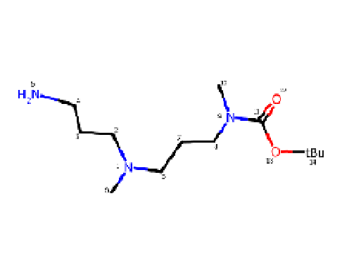 CN(CCCN)CCCN(C)C(=O)OC(C)(C)C